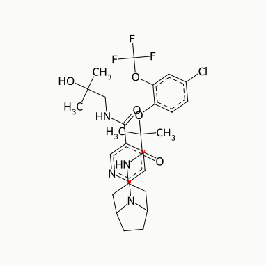 CC(C)(O)CNC(=O)c1ccc(N2C3CCC2CC(NC(=O)C(C)(C)Oc2ccc(Cl)cc2OC(F)(F)F)C3)nc1